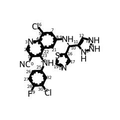 N#Cc1cnc2c(Cl)cc(N[C@H](C3=CNNN3)c3cncs3)cc2c1Nc1ccc(F)c(Cl)c1